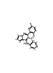 Cc1ccc(F)c(-c2nc(Nc3ccncc3F)c3cccn3n2)n1